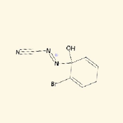 N#C/N=N/C1(O)C=CCC=C1Br